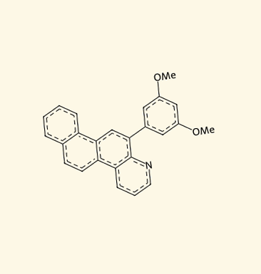 COc1cc(OC)cc(-c2cc3c4ccccc4ccc3c3cccnc23)c1